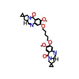 COc1cc2c(cc1OCCCCCOc1cc3c(cc1OC)C(=O)N1CC4(CC4)C[C@H]1C=N3)N=C[C@@H]1CC3(CC3)CN1C2=O